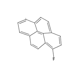 Fc1ccc2ccc3[c]ccc4ccc1c2c34